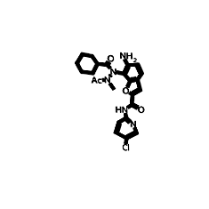 CC(=O)N(C)N(C(=O)C1CCCCC1)c1c(N)ccc2cc(C(=O)Nc3ccc(Cl)cn3)oc12